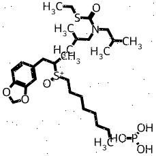 CCCCCCCC[S+]([O-])C(C)Cc1ccc2c(c1)OCO2.CCSC(=O)N(CC(C)C)CC(C)C.OP(O)O